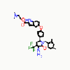 Cc1ccc(Cn2c(-c3ccc(Oc4ccc5[nH]c(C(=O)OCCN(C)C)cc5c4)cc3)cc(C(F)(F)F)c(N)c2=O)c(C)c1